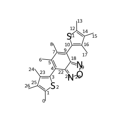 Cc1sc(-c2c(C)c(C)c(-c3sc(C)c(C)c3C)c3nonc23)c(C)c1C